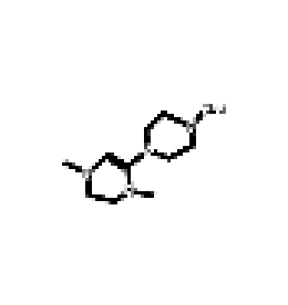 CN1C=C(N2CCN(C(C)(C)C)CC2)N(C)CC1